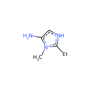 CCc1[nH]cc(N)[n+]1C